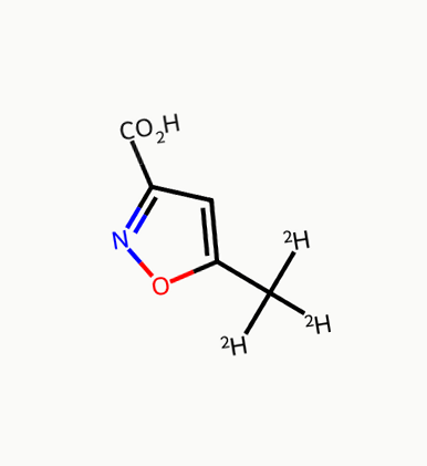 [2H]C([2H])([2H])c1cc(C(=O)O)no1